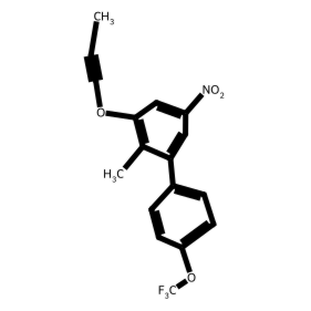 CC#COc1cc([N+](=O)[O-])cc(-c2ccc(OC(F)(F)F)cc2)c1C